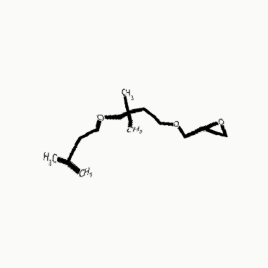 CC(C)CCOC(C)(C)CCOCC1CO1